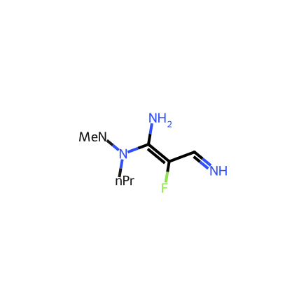 CCCN(NC)/C(N)=C(\F)C=N